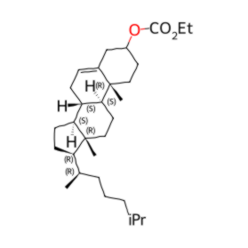 CCOC(=O)OC1CC[C@@]2(C)C(=CC[C@H]3[C@@H]4CC[C@H]([C@H](C)CCCC(C)C)[C@@]4(C)CC[C@@H]32)C1